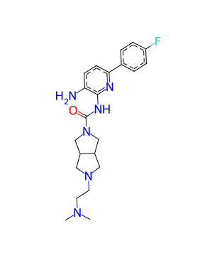 CN(C)CCN1CC2CN(C(=O)Nc3nc(-c4ccc(F)cc4)ccc3N)CC2C1